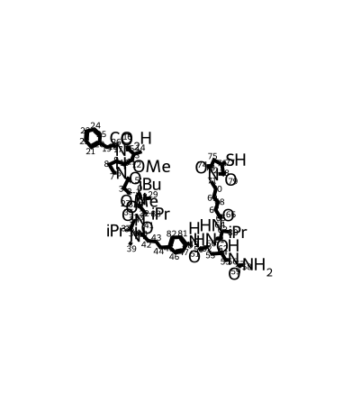 CC[C@H](C)[C@@H](C(CC(=O)N1CCCC1[C@H](OC)C(C)C(=O)N[C@@H](Cc1ccccc1)C(=O)O)OC)N(C)C(=O)[C@@H](NC(=O)[C@H](C(C)C)N(C)C(=O)CCCc1ccc(NC(=O)[C@H](CCCNC(N)=O)NC(=O)C(NC(=O)CCCCCN2C(=O)CC(S)C2=O)C(C)C)cc1)C(C)C